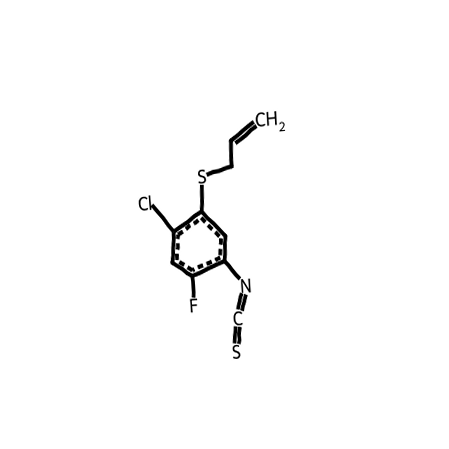 C=CCSc1cc(N=C=S)c(F)cc1Cl